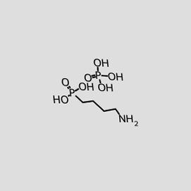 NCCCCP(=O)(O)O.O=P(O)(O)O